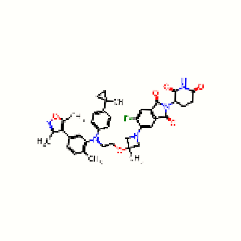 Cc1ccc(-c2c(C)noc2C)cc1N(CCOC1(C)CN(c2cc3c(cc2F)C(=O)N(C2CCC(=O)NC2=O)C3=O)C1)c1ccc(C2(C#N)CC2)cc1